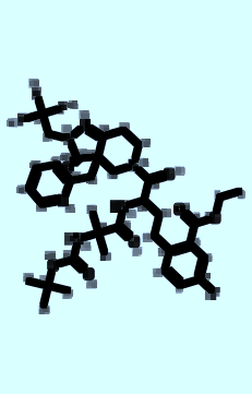 CCOC(=O)c1cc(F)ccc1CCC(NC(=O)C(C)(C)NC(=O)OC(C)(C)C)C(=O)N1CCC2=NN(CC(F)(F)F)C(=O)C2(Cc2ccccn2)C1